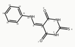 O=C1NC(=S)NC(=O)C1=CNc1ccccc1